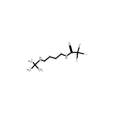 CC(C)(C)NCCCCNC(=O)C(F)(F)F